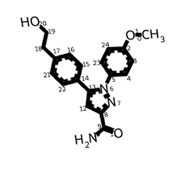 COc1ccc(-n2nc(C(N)=O)cc2-c2ccc(CCO)cc2)cc1